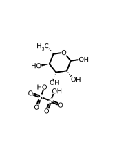 C[C@@H]1OC(O)[C@H](O)[C@H](O)[C@H]1O.O=S(=O)(O)S(=O)(=O)O